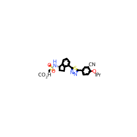 CC(C)Oc1ccc(-c2nnc(-c3cccc4c3CC[C@@H]4NS(=O)(=O)CC(=O)O)s2)cc1C#N